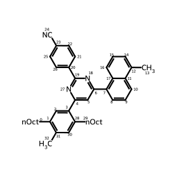 CCCCCCCCc1cc(-c2cc(-c3cccc4c(C)cccc34)nc(-c3ccc(C#N)cc3)n2)c(CCCCCCCC)cc1C